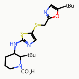 CC(C)(C)c1cnc(CSc2cnc(NC3CCCN(C(=O)O)C3C(C)(C)C)s2)o1